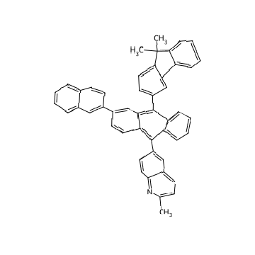 Cc1ccc2cc(-c3c4ccccc4c(-c4ccc5c(c4)-c4ccccc4C5(C)C)c4cc(-c5ccc6ccccc6c5)ccc34)ccc2n1